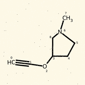 C#COC1CCN(C)C1